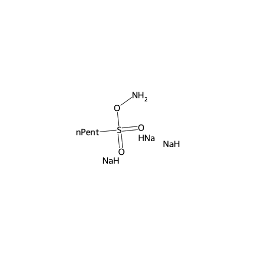 CCCCCS(=O)(=O)ON.[NaH].[NaH].[NaH]